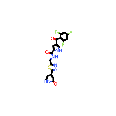 O=C(NCc1nnc(-c2cc[nH]c(=O)c2)s1)c1cc(C(=O)c2c(F)cc(F)cc2F)c[nH]1